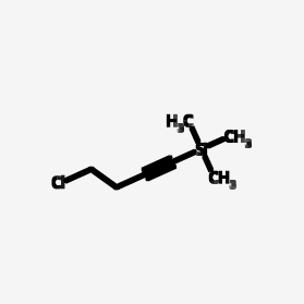 C[Si](C)(C)C#CCCCl